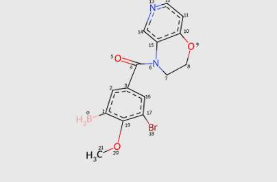 Bc1cc(C(=O)N2CCOc3ccncc32)cc(Br)c1OC